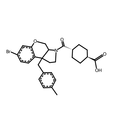 Cc1ccc(CC23CCN(C(=O)[C@H]4CC[C@H](C(=O)O)CC4)C2COc2cc(Br)ccc23)cc1